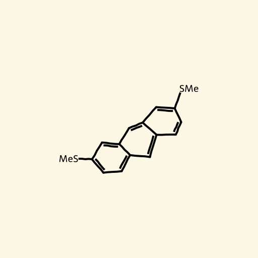 CSc1ccc2cc3ccc(SC)cc3cc2c1